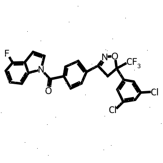 O=C(c1ccc(C2=NOC(c3cc(Cl)cc(Cl)c3)(C(F)(F)F)C2)cc1)n1ccc2c(F)cccc21